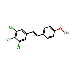 N#COc1ccc(/C=C/c2cc(Cl)c(Cl)c(Cl)c2)cc1